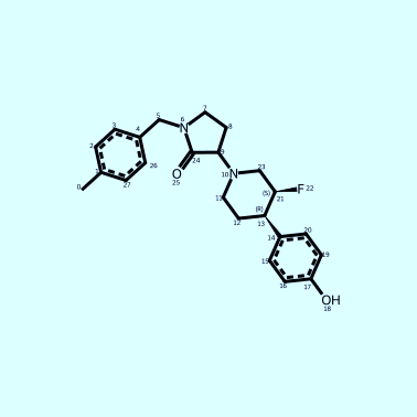 Cc1ccc(CN2CCC(N3CC[C@H](c4ccc(O)cc4)[C@H](F)C3)C2=O)cc1